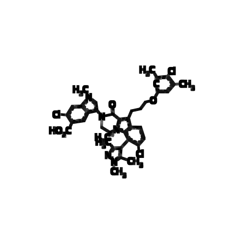 Cc1cc(OCCCc2c3n(c4c(-c5c(C)nn(C)c5C)c(Cl)ccc24)[C@H](C)CN(c2cn(C)c4cc(Cl)c(C(=O)O)cc24)C3=O)cc(C)c1Cl